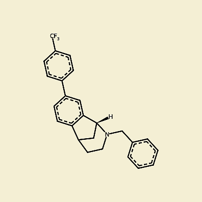 FC(F)(F)c1ccc(-c2ccc3c(c2)[C@H]2CC3CCN2Cc2ccccc2)cc1